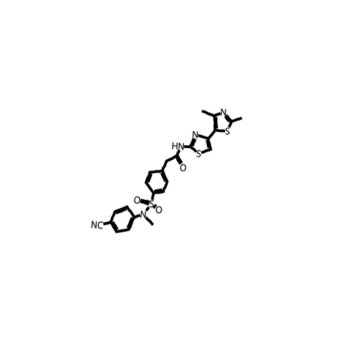 Cc1nc(C)c(-c2csc(NC(=O)Cc3ccc(S(=O)(=O)N(C)c4ccc(C#N)cc4)cc3)n2)s1